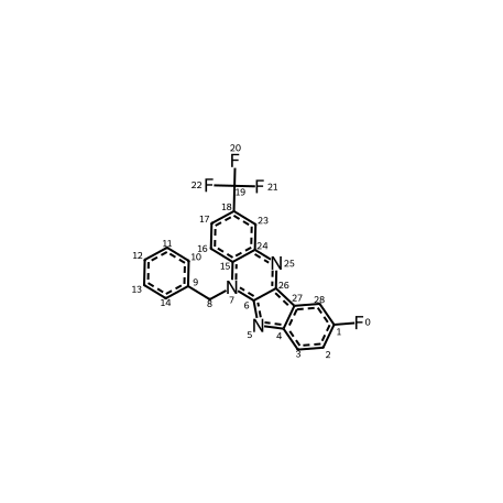 Fc1ccc2nc3n(Cc4ccccc4)c4ccc(C(F)(F)F)cc4nc-3c2c1